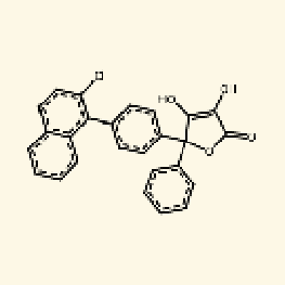 O=C1OC(c2ccccc2)(c2ccc(-c3c(Cl)ccc4ccccc34)cc2)C(O)=C1O